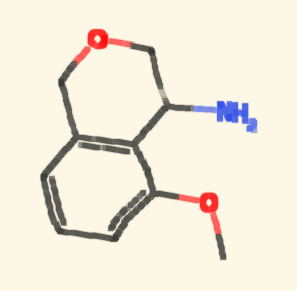 COc1cccc2c1C(N)COC2